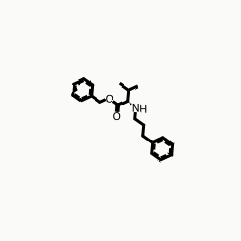 CC(C)[C@H](NCCCc1ccccc1)C(=O)OCc1ccccc1